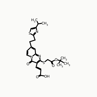 CC(C)c1csc(CCc2ccn3c(=O)c(/C=C/C(=O)O)c(SCC(=O)OC(C)(C)C)nc3c2)n1